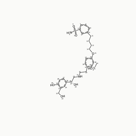 CC(=O)O.NS(=O)(=O)c1cccc(CCCCOc2ccc(CCNC[C@H](O)c3ccc(O)c(CO)c3)cc2)c1